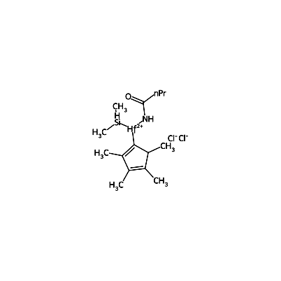 CCCC(=O)[NH][Hf+2]([C]1=C(C)C(C)=C(C)C1C)[SiH](C)C.[Cl-].[Cl-]